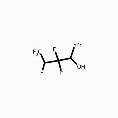 CCCC(O)C(F)(F)C(F)C(F)(F)F